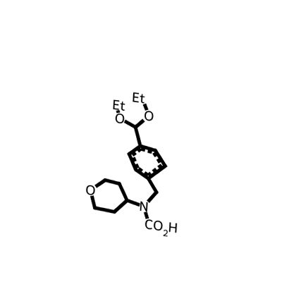 CCOC(OCC)c1ccc(CN(C(=O)O)C2CCOCC2)cc1